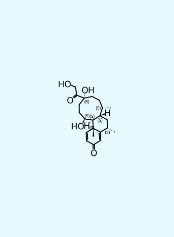 C[C@H]1C[C@@H]2[C@H]([C@@H](O)CC[C@@](O)(C(=O)CO)CC[C@@H]2C)[C@@]2(C)C=CC(=O)C=C12